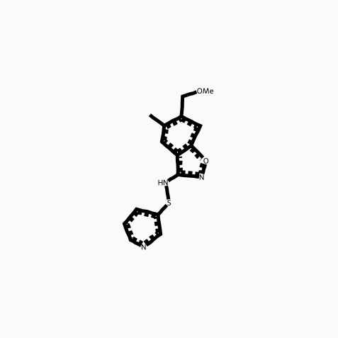 COCc1cc2onc(NSc3cccnc3)c2cc1C